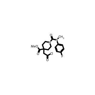 COC(=O)C1(CC(=O)Cl)CCN(C(=O)N(C)c2ccc(F)cc2)CC1